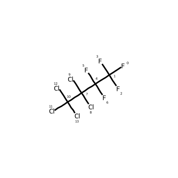 FC(F)(F)C(F)(F)C(Cl)(Cl)C(Cl)(Cl)Cl